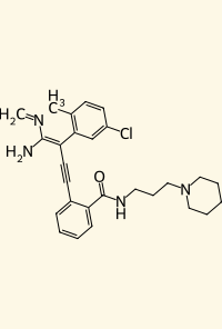 C=N/C(N)=C(/C#Cc1ccccc1C(=O)NCCCN1CCCCC1)c1cc(Cl)ccc1C